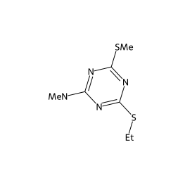 CCSc1nc(NC)nc(SC)n1